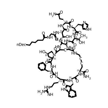 CCCCCCCCCCCCCCCC(=O)NCC(=O)N[C@H](C(=O)N[C@H](CCC(N)=O)C(=O)N[C@@H](Cc1c[nH]cn1)C(=O)N[C@H](C(=O)N[C@@H](CCCC)C(=O)N[C@H]1CCC(=O)NCCCC[C@@H](C(N)=O)NC(=O)[C@H](Cc2c[nH]c3ccccc23)NC(=O)[C@H](CCCNC(=N)N)NC(=O)[C@@H](Cc2ccccc2)NC(=O)[C@@H]2C[C@@H](O)CN2C1=O)[C@@H](C)O)[C@@H](C)O